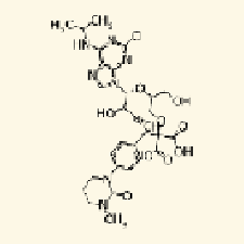 C#C[C@@H](O)[C@@H](O[C@@H](CO)COC(Cc1ccc(N2CCCN(C)C2=O)cc1)(C(=O)O)C(=O)O)n1cnc2c(NC(C)C)nc(Cl)nc21